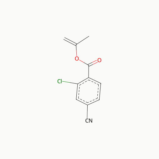 C=C(C)OC(=O)c1ccc(C#N)cc1Cl